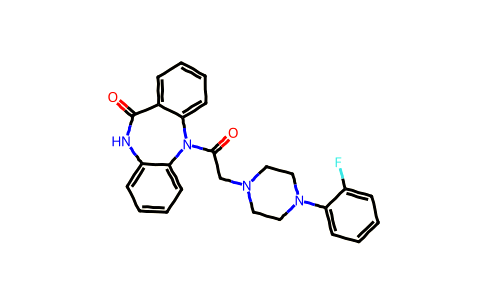 O=C1Nc2ccccc2N(C(=O)CN2CCN(c3ccccc3F)CC2)c2ccccc21